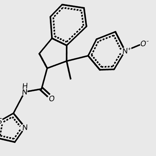 CC1(c2cc[n+]([O-])cc2)c2ccccc2CC1C(=O)Nc1nccs1